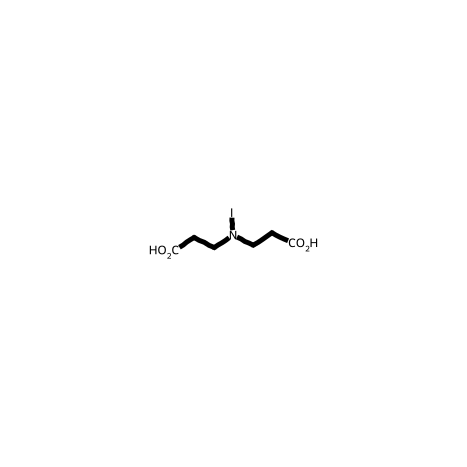 O=C(O)CCN(I)CCC(=O)O